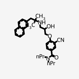 CCCN(CCC)C(=O)c1ccc(OCC(O)CNC(C)(C)Cc2ccc3ccccc3c2)c(C#N)c1